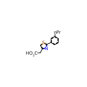 CCCc1cccc(-c2nc(CC(=O)O)cs2)c1